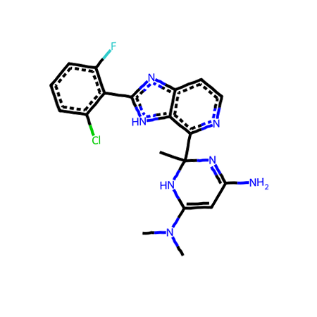 CN(C)C1=CC(N)=NC(C)(c2nccc3nc(-c4c(F)cccc4Cl)[nH]c23)N1